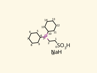 O=S(=O)(O)CCP(C1CCCCC1)C1CCCCC1.[NaH]